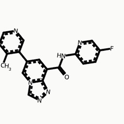 Cc1ccncc1-c1cc(C(=O)Nc2ccc(F)cn2)c2nncn2c1